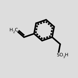 C=Cc1cccc(CS(=O)(=O)O)c1